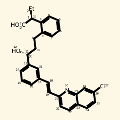 CC[C@H](C(=O)O)c1ccccc1CC[C@@H](O)c1cccc(C=Cc2ccc3ccc(Cl)cc3n2)c1